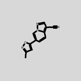 Cc1cc(-c2ccc3c(C#N)cnn3c2)on1